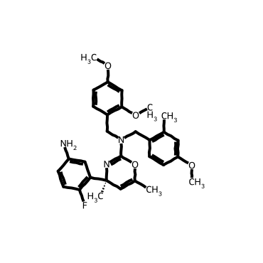 COc1ccc(CN(Cc2ccc(OC)cc2OC)C2=N[C@](C)(c3cc(N)ccc3F)C=C(C)O2)c(C)c1